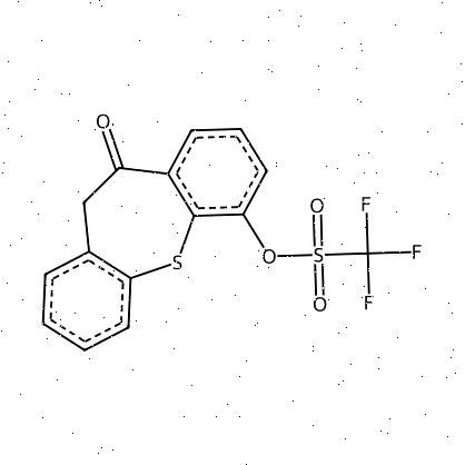 O=C1Cc2ccccc2Sc2c(OS(=O)(=O)C(F)(F)F)cccc21